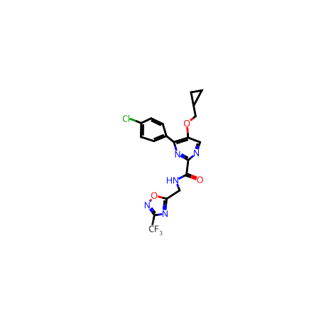 O=C(NCc1nc(C(F)(F)F)no1)c1ncc(OCC2CC2)c(-c2ccc(Cl)cc2)n1